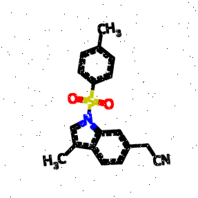 Cc1ccc(S(=O)(=O)n2cc(C)c3ccc(CC#N)cc32)cc1